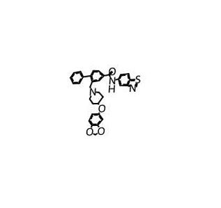 O=C(Nc1ccc2scnc2c1)c1ccc(-c2ccccc2)c(CN2CCC(Oc3ccc4c(c3)OCO4)CC2)c1